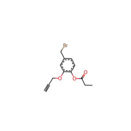 C#CCOc1cc(CBr)ccc1OC(=O)CC